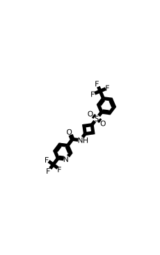 O=C(NC1CC(S(=O)(=O)c2cccc(C(F)(F)F)c2)C1)c1ccc(C(F)(F)F)nc1